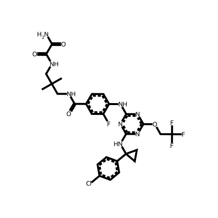 CC(C)(CNC(=O)C(N)=O)CNC(=O)c1ccc(Nc2nc(NC3(c4ccc(Cl)cc4)CC3)nc(OCC(F)(F)F)n2)c(F)c1